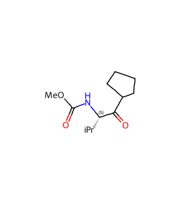 COC(=O)N[C@H](C(=O)C1CCCC1)C(C)C